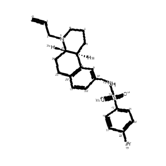 C=CCN1CCC[C@H]2c3cc(NS(=O)(=O)c4ccc(C(C)C)cc4)ccc3CC[C@@H]21